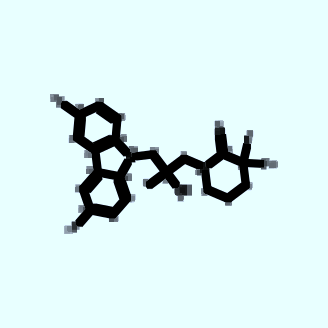 CC(O)(CN1CCCC(F)(F)C1=O)Cn1c2ccc(F)cc2c2cc(F)ccc21